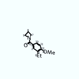 CCc1cc(C(=O)N2CCC2)ccc1OC